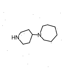 [CH]1CCCCN(C2CCNCC2)C1